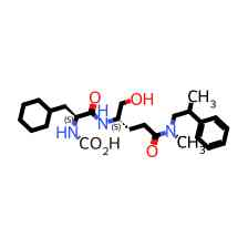 CC(CN(C)C(=O)CC[C@@H](CO)NC(=O)[C@H](CC1CCCCC1)NC(=O)O)c1ccccc1